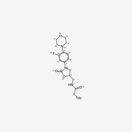 O=C(CO)NCC1CN(c2ccc(N3CCOCC3)c(F)c2)C(=O)O1